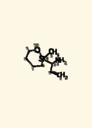 C=CC(N)[Si]1(C)CCCCO1